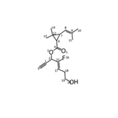 C#CC(OC(=O)C1C(C=C(C)C)C1(C)C)C(F)=CCCO